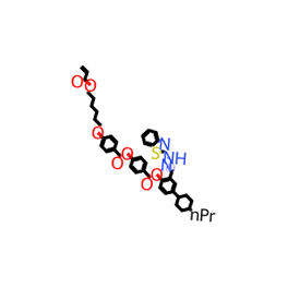 C=CC(=O)OCCCCCCOc1ccc(C(=O)Oc2ccc(C(=O)Oc3ccc(C4CCC(CCC)CC4)cc3/C=N/Nc3nc4ccccc4s3)cc2)cc1